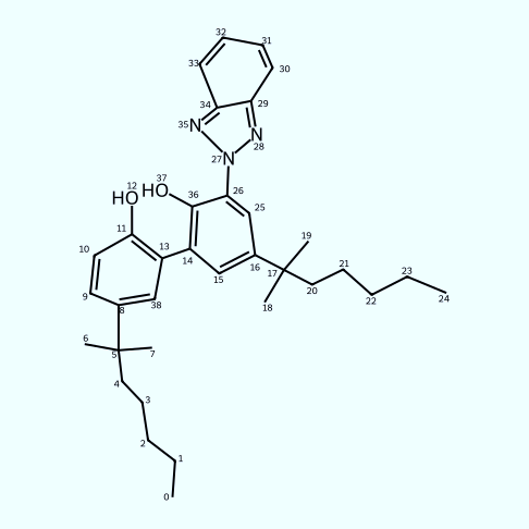 CCCCCC(C)(C)c1ccc(O)c(-c2cc(C(C)(C)CCCCC)cc(-n3nc4ccccc4n3)c2O)c1